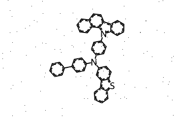 c1ccc(-c2ccc(N(c3ccc(-n4c5ccccc5c5ccc6ccccc6c54)cc3)c3ccc4sc5ccccc5c4c3)cc2)cc1